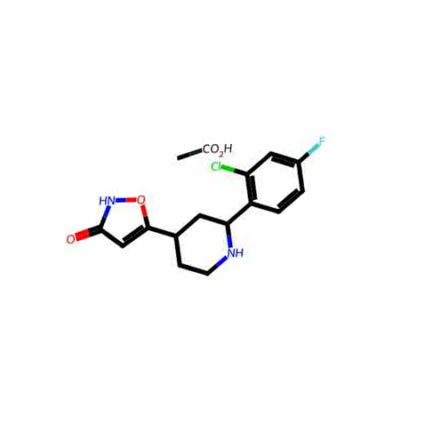 CC(=O)O.O=c1cc(C2CCNC(c3ccc(F)cc3Cl)C2)o[nH]1